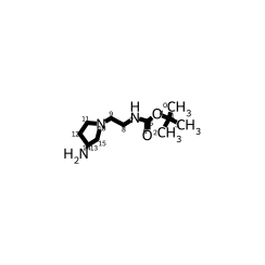 CC(C)(C)OC(=O)NCCN1CC[C@@H](N)C1